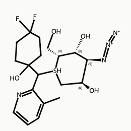 Cc1cccnc1C([SH]1C[C@H](O)[C@H](N=[N+]=[N-])[C@@H](O)[C@H]1CO)C1(O)CCC(F)(F)CC1